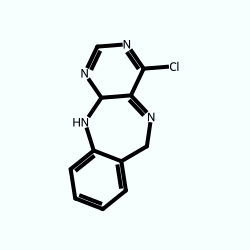 ClC1=NC=NC2Nc3ccccc3CN=C12